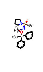 CN=S(=O)(C(C)C)N1CCC[C@@H]1CO[Si](c1ccccc1)(c1ccccc1)C(C)(C)C